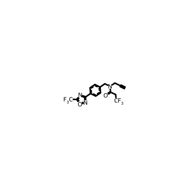 C#CCN(Cc1ccc(-c2noc(C(F)(F)F)n2)cc1)C(=O)CC(F)(F)F